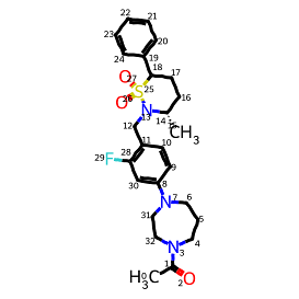 CC(=O)N1CCCN(c2ccc(CN3[C@@H](C)CCC(c4ccccc4)S3(=O)=O)c(F)c2)CC1